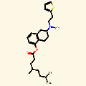 CCCCC(CC)CCC(C)CCC(=O)Oc1cccc2c1CCC(N(CCC)CCc1cccs1)C2